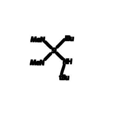 CCC(C)[Si](NC)(NC)NC(C)(C)C